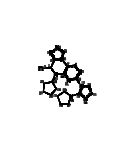 CCC1c2nncn2-c2cnc(-n3ccnc3N3CCCC3)nc2N1C1CCCC1